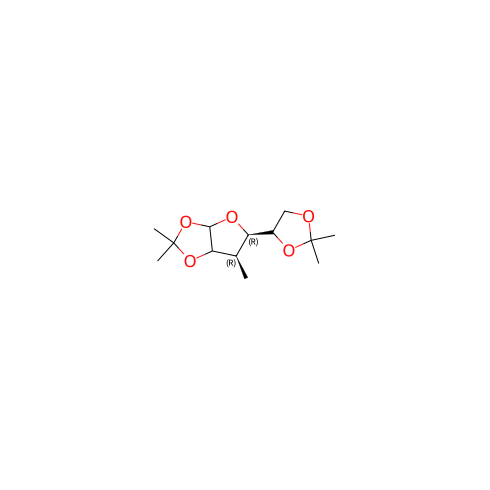 C[C@H]1C2OC(C)(C)OC2O[C@H]1C1COC(C)(C)O1